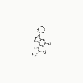 CC(Nc1nc(Cl)nc2c1ncn2C1CCCCO1)C1CC1